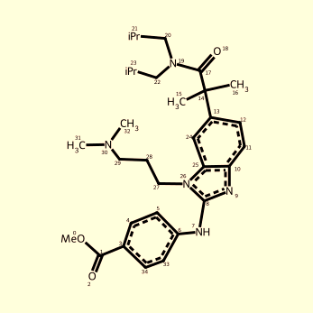 COC(=O)c1ccc(Nc2nc3ccc(C(C)(C)C(=O)N(CC(C)C)CC(C)C)cc3n2CCCN(C)C)cc1